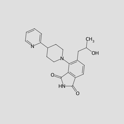 CC(O)Cc1ccc2c(c1N1CCC(c3ccccn3)CC1)C(=O)NC2=O